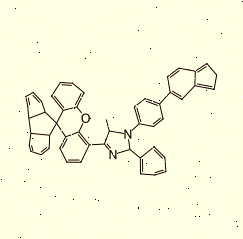 CC1C(c2cccc3c2Oc2ccccc2C32C3C=CC=CC3C3C=CC=CC32)=NC(c2ccccc2)N1c1ccc(-c2ccc3c(c2)=CCC=3)cc1